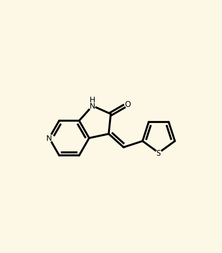 O=C1Nc2cnccc2C1=Cc1cccs1